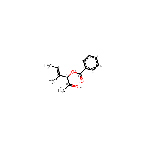 CC=C(C)C(OC(=O)c1ccccc1)C(C)=O